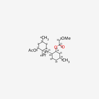 CC(=O)OC1CC(C)CCC1C(C)C.COCC(=O)OC1CC(C)CCC1C(C)C